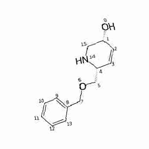 O[C@@H]1C=C[C@H](COCc2ccccc2)NC1